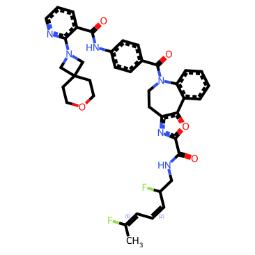 C/C(F)=C\C=C/C(F)CNC(=O)c1nc2c(o1)-c1ccccc1N(C(=O)c1ccc(NC(=O)c3cccnc3N3CC4(CCOCC4)C3)cc1)CC2